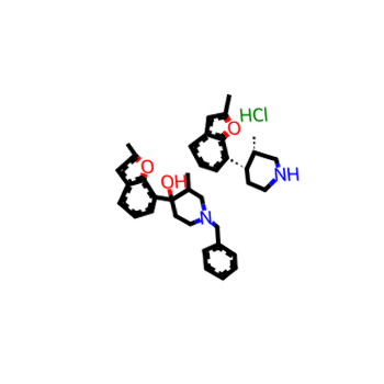 Cc1cc2cccc(C3(O)CCN(Cc4ccccc4)CC3C)c2o1.Cc1cc2cccc([C@H]3CCNC[C@H]3C)c2o1.Cl